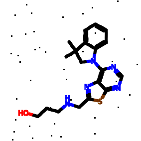 CC1(C)CN(c2ncnc3sc(CNCCCO)nc23)c2ccccc21